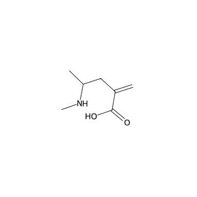 C=C(CC(C)NC)C(=O)O